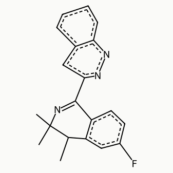 CC1c2cc(F)ccc2C(c2cc3ccccc3nn2)=NC1(C)C